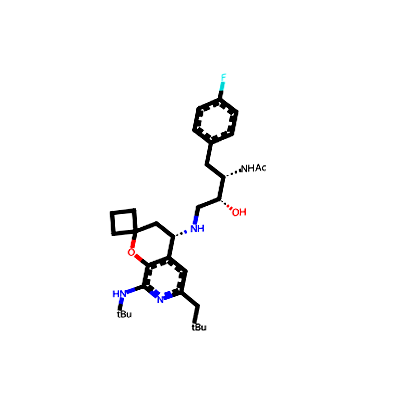 CC(=O)N[C@@H](Cc1ccc(F)cc1)[C@H](O)CN[C@H]1CC2(CCC2)Oc2c1cc(CC(C)(C)C)nc2NC(C)(C)C